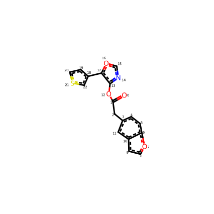 O=C(Cc1ccc2occc2c1)Oc1ncoc1-c1ccsc1